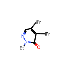 CCn1ncc(C(C)C)c(C(C)C)c1=O